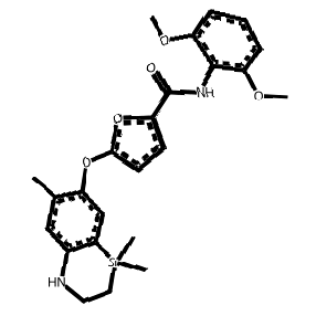 COc1cccc(OC)c1NC(=O)c1ccc(Oc2cc3c(cc2C)NCC[Si]3(C)C)o1